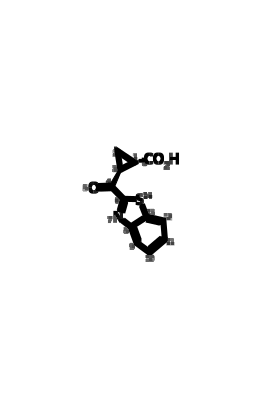 O=C(O)[C@H]1C[C@@H]1C(=O)c1nc2ccccc2s1